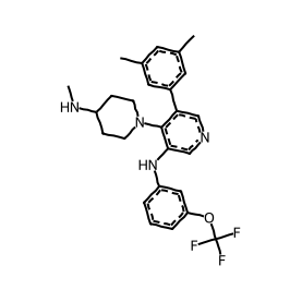 CNC1CCN(c2c(Nc3cccc(OC(F)(F)F)c3)cncc2-c2cc(C)cc(C)c2)CC1